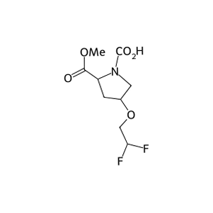 COC(=O)C1CC(OCC(F)F)CN1C(=O)O